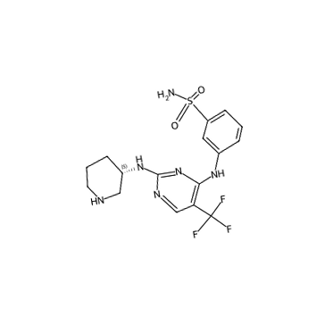 NS(=O)(=O)c1cccc(Nc2nc(N[C@H]3CCCNC3)ncc2C(F)(F)F)c1